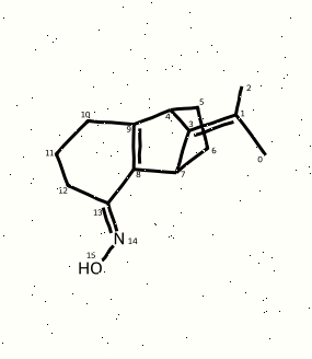 CC(C)=C1C2CCC1C1=C2CCC/C1=N\O